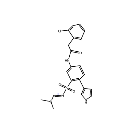 CN(C)/C=N/S(=O)(=O)c1cc(NC(=O)Cc2ccccc2Cl)ccc1-c1cc[nH]c1